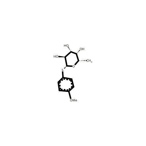 COc1ccc(S[C@H]2O[C@@H](C)[C@@H](O)[C@@H](O)[C@@H]2O)cc1